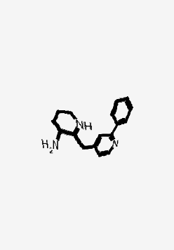 NC1CCCNC1Cc1ccnc(-c2ccccc2)c1